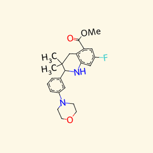 COC(=O)c1cc(F)cc2c1CC(C)(C)C(c1cccc(N3CCOCC3)c1)N2